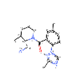 Cc1ccc(-n2cnc(C)n2)c(C(=O)N2CCCC(C)[C@H]2CN)c1